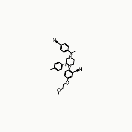 COCCOc1ccc(N2CCN([C@H](C)c3ccc(C#N)cc3)C[C@H]2c2ccc(C)cc2)c(C#N)c1